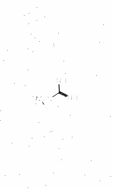 CNC(=N)N.N#CS